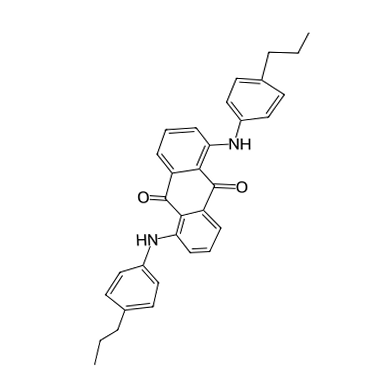 CCCc1ccc(Nc2cccc3c2C(=O)c2cccc(Nc4ccc(CCC)cc4)c2C3=O)cc1